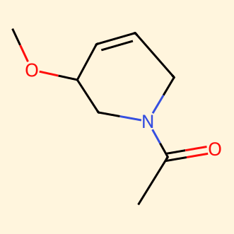 COC1C=CCN(C(C)=O)C1